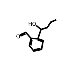 CCCC(O)c1ccccc1C=O